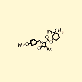 COc1ccc(CN2C(=O)[C@H](C(C)=O)[C@H]2C(=O)OC2CCCC(C)(C(C)C)C2)cc1